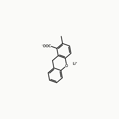 Cc1ccc2c(c1C(=O)[O-])Cc1ccccc1O2.[Li+]